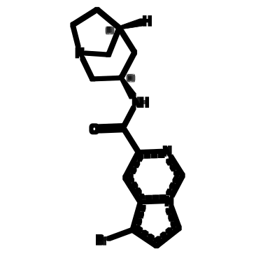 O=C(N[C@@H]1C[C@H]2CCN(C2)C1)c1cc2c(Br)ccn2cn1